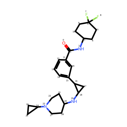 O=C(NC1CCC(F)(F)CC1)c1cccc(C2CC2NC2CCN(C3CC3)CC2)c1